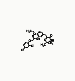 CCOc1ccc(CC(OC(C)C)C(=O)O)cc1NC(=O)COc1ccc(Cl)cc1Cl